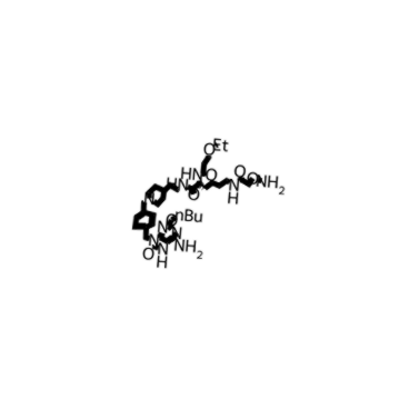 CCCCOc1nc(N)c2[nH]c(=O)n(Cc3ccc(CN4CCC(CCNC(=O)[C@H](CCCCNC(=O)CON)NC(=O)CCOCC)CC4)cc3)c2n1